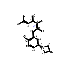 C=C(C=C(C)C)/C(C)=C(/C)Cc1cc(N2CCC2)ccc1C